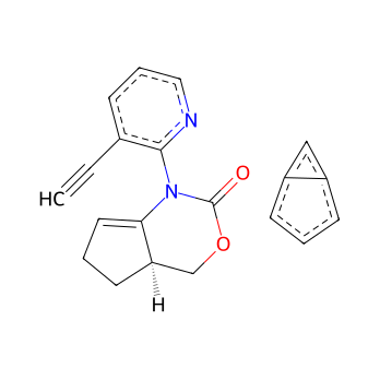 C#Cc1cccnc1N1C(=O)OC[C@H]2CCC=C21.c1cc2cc-2c1